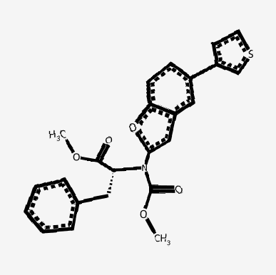 COC(=O)[C@@H](Cc1ccccc1)N(C(=O)OC)c1cc2cc(-c3ccsc3)ccc2o1